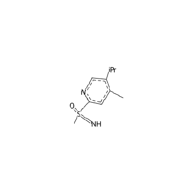 Cc1cc(S(C)(=N)=O)ncc1C(C)C